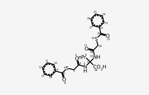 CCCC(NC(=O)CSC(=O)c1ccccc1)(NC(=O)CSC(=O)c1ccccc1)C(=O)O